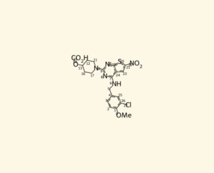 COc1ccc(CNc2nc(N3CCC(OC(=O)O)CC3)nc3sc([N+](=O)[O-])cc23)cc1Cl